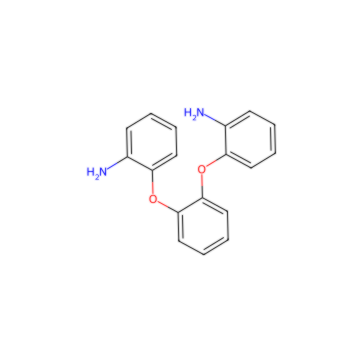 Nc1ccccc1Oc1ccccc1Oc1ccccc1N